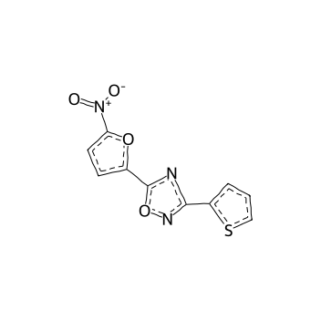 O=[N+]([O-])c1ccc(-c2nc(-c3cccs3)no2)o1